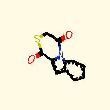 O=C1SCC(=O)n2c1cc1ccccc12